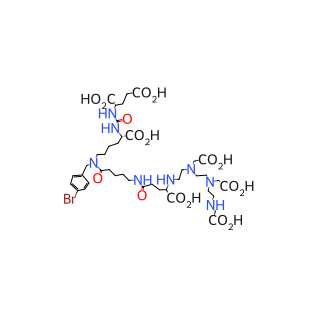 O=C(O)CCC(NC(=O)N[C@@H](CCCCN(Cc1ccc(Br)cc1)C(=O)CCCCNC(=O)CCC(NCCN(CCN(CCNCC(=O)O)CC(=O)O)CC(=O)O)C(=O)O)C(=O)O)C(=O)O